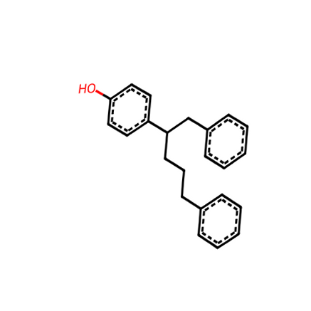 Oc1ccc(C(CCCc2ccccc2)Cc2ccccc2)cc1